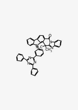 CC1(C)c2c(ccc3c4ccccc4n(-c4cccc(-c5nc(-c6ccccc6)nc(-c6ccccc6)n5)c4)c23)C(=O)n2c1nc1ccccc12